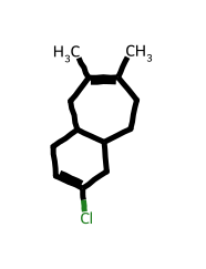 CC1=C(C)CC2CC=C(Cl)CC2CC1